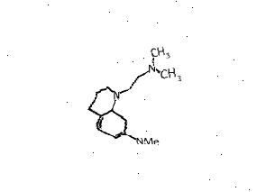 CNC1=CC=C2CCCN(CCN(C)C)C2C1